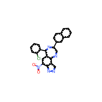 O=[N+]([O-])c1cc2c(-c3ccccc3Cl)nc(-c3ccc4ccccc4c3)cnc2c2cnnc12